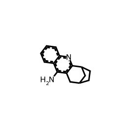 Nc1c2c(nc3ccccc13)C1CCC(C2)C1